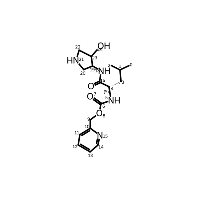 CC(C)C[C@H](NC(=O)OCc1ccccn1)C(=O)NC1CNCC1O